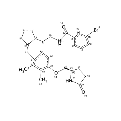 Cc1c(CN2CCCC2CCNC(=O)c2cccc(Br)n2)ccc(OC[C@H]2CCC(=O)N2)c1C